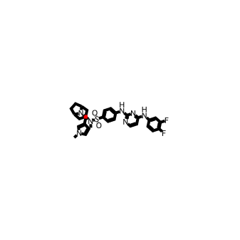 CN(C1CC2CCC(C1)N2Cc1ccn(C)c1)S(=O)(=O)c1ccc(Nc2nccc(Nc3ccc(F)c(F)c3)n2)cc1